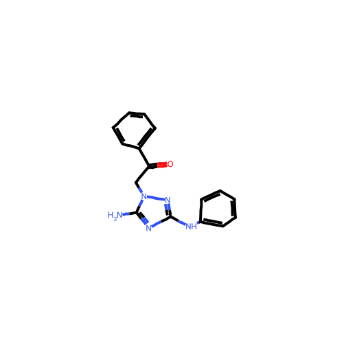 Nc1nc(Nc2ccccc2)nn1CC(=O)c1ccccc1